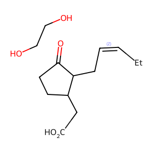 CC/C=C\CC1C(=O)CCC1CC(=O)O.OCCO